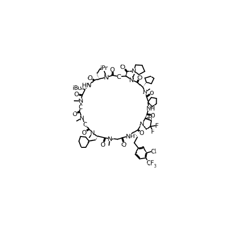 CC[C@H](C)[C@@H]1NC(=O)[C@H](CC(C)C)N(C)C(=O)C[C@@H](C(=O)N2CCCC2)N(C)C(=O)[C@H](C2CCCC2)N(C)C(=O)C2(CCCC2)NC(=O)[C@@H]2CC(F)(F)CN2C(=O)[C@H](CCc2ccc(C(F)(F)F)c(Cl)c2)NC(=O)CN(C)C(=O)[C@H](CC2CCCCC2)N(C)C(=O)CN(C)C(=O)CN(C)C1=O